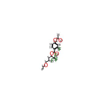 CCOCCC[C@@H](OC(=O)c1ccc(OC(C)=O)cc1F)C(F)(F)F